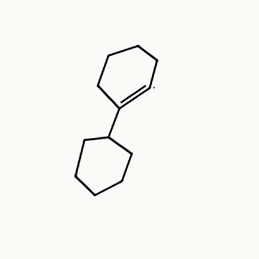 [C]1=C(C2CCCCC2)CCCC1